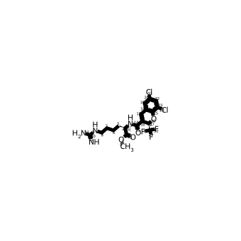 COC(=O)[C@H](CCCCNC(=N)N)NC(=O)C1=Cc2cc(Cl)cc(Cl)c2O[C@@H]1C(F)(F)F